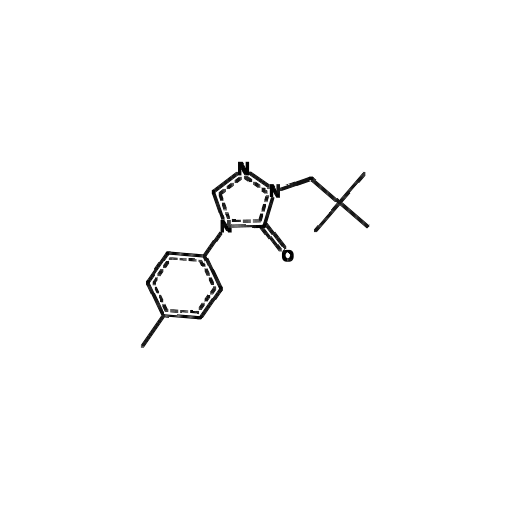 Cc1ccc(-n2cnn(CC(C)(C)C)c2=O)cc1